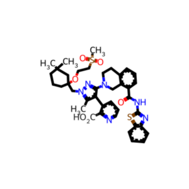 Cc1c(-c2cccnc2C(=O)O)c(N2CCc3cccc(C(=O)Nc4nc5ccccc5s4)c3C2)nn1CC1(OCCS(C)(=O)=O)CCCC(C)(C)C1